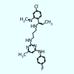 C=Nc1cc(Cl)ccc1/C(=C\C)NCCCNc1nc(C)cc(Nc2ccc(F)cc2)n1